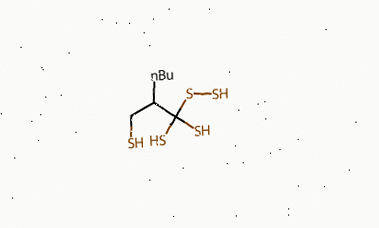 CCCCC(CS)C(S)(S)SS